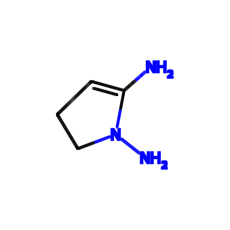 NC1=CCCN1N